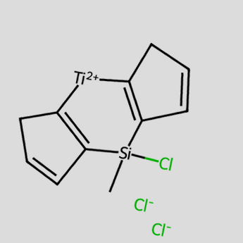 C[Si]1(Cl)C2=[C](CC=C2)[Ti+2][C]2=C1C=CC2.[Cl-].[Cl-]